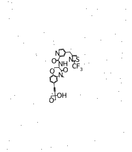 CN1C(=O)C(NC(=O)c2cc(Cc3csc(C(F)(F)F)n3)ccn2)COc2ccc(C#CC3(O)COC3)cc21